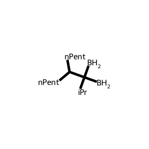 BC(B)(C(C)C)C(CCCCC)CCCCC